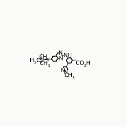 Cn1cc(-c2cc(CC(=O)O)cc(Nc3ncc4cc(C#C[Si](C)(C)C)ccc4n3)c2)cn1